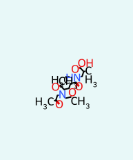 CC(=O)CN(CC(C)=O)C(CC(C)C(=O)NCC(C)C(=O)O)C(C)=O